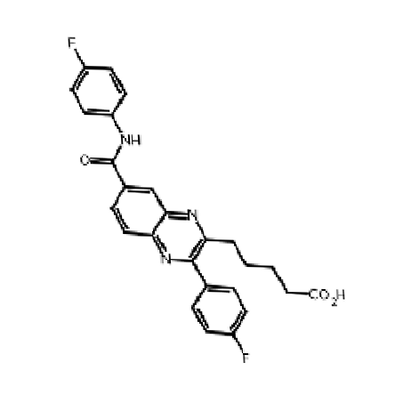 O=C(O)CCCCc1nc2cc(C(=O)Nc3ccc(F)cc3)ccc2nc1-c1ccc(F)cc1